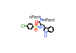 CCCCCN(CCCCC)C(=O)[C@@H](Cc1c[nH]c2ccccc12)NS(=O)(=O)c1ccc(Cl)cc1